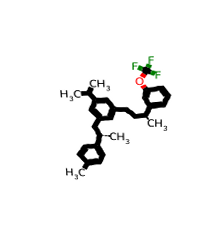 Cc1ccc([C@@H](C)Cc2cc(CC[C@@H](C)c3cccc(OC(F)(F)F)c3)cc(C(C)C)c2)cc1